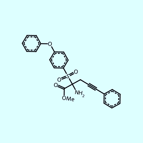 COC(=O)C(N)(CC#Cc1ccccc1)S(=O)(=O)c1ccc(Oc2ccccc2)cc1